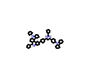 c1ccc(-c2nc(-c3ccc(-c4ccc5nc(-c6ccccc6)c6ccc7c(c8ccccc8n7-c7ccccc7)c6c5c4)cc3)cc(-c3ccc(-n4c5ccccc5c5ccccc54)cc3)n2)cc1